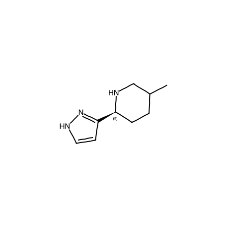 CC1CC[C@@H](c2cc[nH]n2)NC1